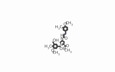 COC(=O)[C@@H]1C[C@@H](NC(=O)/C=C/c2ccc(OC)c(C)c2)CN1C(=O)c1cc(CO)c(C)c(OC)c1